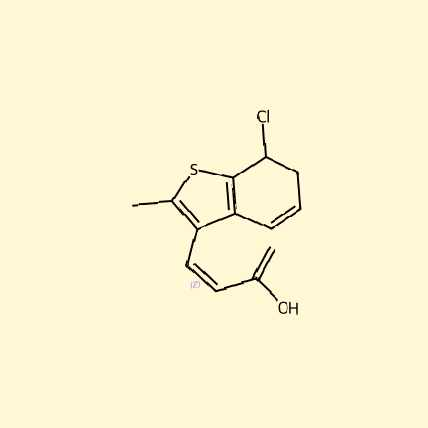 C=C(O)/C=C\c1c(C)sc2c1C=CCC2Cl